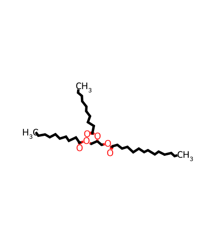 CCCCCCCCCCCCCC(=O)OCC(COC(=O)CCCCCCCCC)OC(=O)CCCCCCCCC